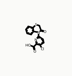 O=C(O)c1nc(N2C(=O)CSc3ccccc32)ccc1Cl